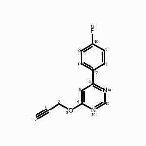 C#CCOc1cc(-c2ccc(F)cc2)ncn1